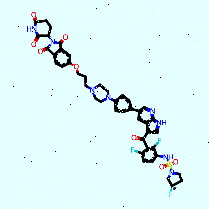 O=C1CCC(N2C(=O)c3ccc(OCCCN4CCN(c5ccc(-c6cnc7[nH]cc(C(=O)c8c(F)ccc(NS(=O)(=O)N9CC[C@@H](F)C9)c8F)c7c6)cc5)CC4)cc3C2=O)C(=O)N1